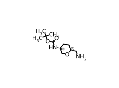 CC(C)(C)OC(=O)N[C@@H]1CC[C@@H](CN)OC1